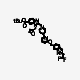 CC(C)(C)OC(=O)c1ccc2nc(CN3CCC(c4cccc(OCc5ccc6cn(CC(F)F)nc6c5)n4)CC3)n(C[C@@H]3CCO3)c2c1